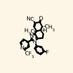 C[C@H]1C(=O)C(C#N)=C[C@@]2(C)c3nc(-c4ccnc(C(F)(F)F)c4)n(-c4cccc(F)c4)c3CC[C@H]12